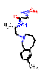 Cc1ccc2c(c1)CCCCN(C[C@H](C)NC(=O)CNO)C2